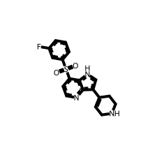 O=S(=O)(c1cccc(F)c1)c1ccnc2c(C3=CCNCC3)c[nH]c12